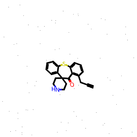 C#CCc1cccc2c1C(=O)C1(CCNCC1)c1ccccc1S2